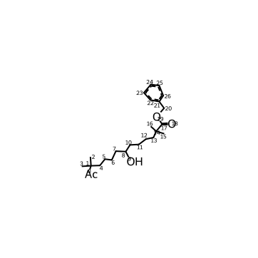 CC(=O)C(C)(C)CCCCC(O)CCCCC(C)(C)C(=O)OCc1ccccc1